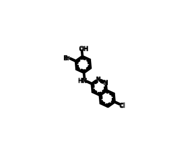 Oc1ccc(Nc2cc3ccc(Cl)cc3nn2)cc1Br